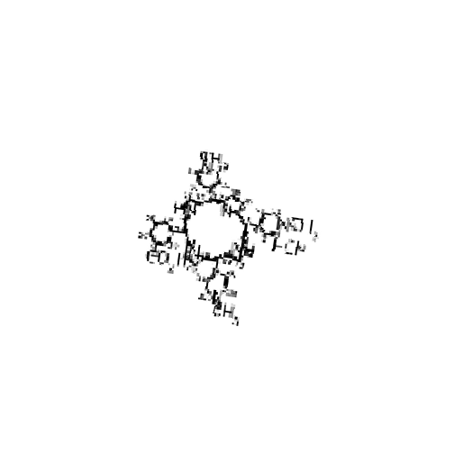 CN1C=CC(c2c3nc(c(C4=CCN(C)C=C4)c4ccc([nH]4)c(-c4cccc(C(=O)O)c4)c4nc(c(C5=CCN(C)C=C5)c5ccc2[nH]5)C=C4)C=C3)=CC1.Cl